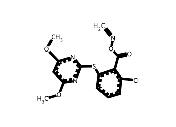 C=NOC(=O)c1c(Cl)cccc1Sc1nc(OC)cc(OC)n1